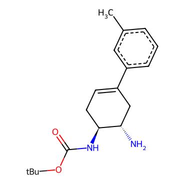 Cc1cccc(C2=CC[C@H](NC(=O)OC(C)(C)C)[C@@H](N)C2)c1